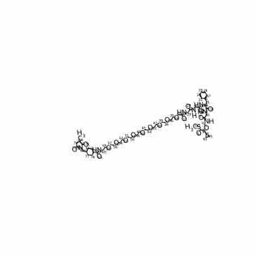 CSC(=O)[C@@H](OCNC(=O)CNC(=O)[C@H](Cc1ccccc1)NC(=O)CNC(=O)CNC(=O)COCCOCCOCCOCCOCCOCCOCCOCCOCCNC(=O)[C@H]1CC[C@H](CN2C(=O)CC(C)C2=O)CC1)C1CC1